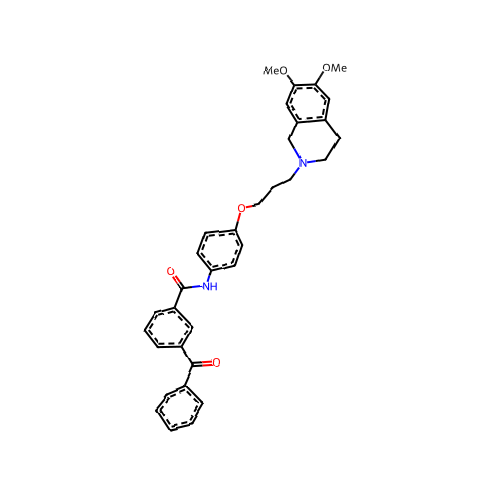 COc1cc2c(cc1OC)CN(CCCOc1ccc(NC(=O)c3cccc(C(=O)c4ccccc4)c3)cc1)CC2